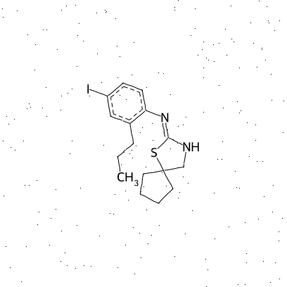 CCCc1cc(I)ccc1/N=C1/NCC2(CCCC2)S1